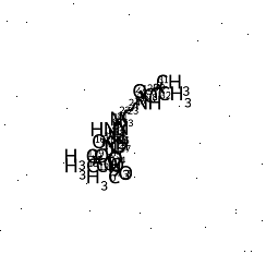 CC(=O)OCC1=C(C(=O)OC(C)(C)C)N2C(=O)C(Nc3nc(CCCNC(=O)OCC(C)C)c[nH]3)[C@H]2SC1